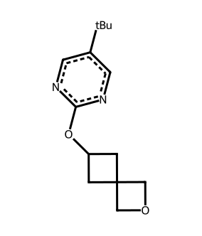 CC(C)(C)c1cnc(OC2CC3(COC3)C2)nc1